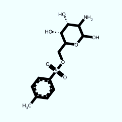 Cc1ccc(S(=O)(=O)OCC2OC(O)C(N)[C@@H](O)[C@H]2O)cc1